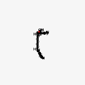 Cc1ncsc1-c1ccc(CNC(=O)C2CC(O)CN2C(=O)C(NC(=O)COCCOCCOCCOCCOCCNc2ccc(-c3ccc(-c4nc5ccc(N(C)C)cc5s4)cc3)cn2)C(C)(C)C)cc1